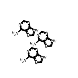 Nc1ncnc2[nH]cnc12.Nc1ncnc2[nH]cnc12.Nc1ncnc2[nH]cnc12